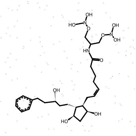 O=C(CCC/C=C\C[C@@H]1[C@@H](CC[C@@H](O)CCc2ccccc2)[C@H](O)C[C@@H]1O)NC(CON(O)O)CON(O)O